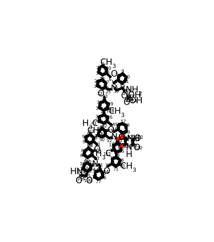 Cc1cccc(COc2ccccc2CN(CC[C@H](N)OP(=O)(O)O)Cc2ccccc2OCc2ccc(-c3cc(C)cc(COc4ccccc4CN(Cc4ccccc4OCc4ccc(-c5cc(C)cc(COc6ccccc6CN(Cc6ccccc6OCc6cccc(C)c6)c6ccc7c(c6)C(=O)C(=O)N7)c5)c(C)c4)c4ccc5[nH]c(=O)c(=O)[nH]c5c4)c3)c(C)c2)c1